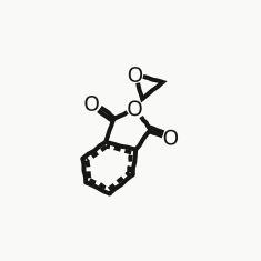 C1CO1.O=C1OC(=O)c2ccccc21